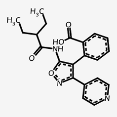 CCC(CC)C(=O)Nc1onc(-c2ccncc2)c1-c1ccccc1C(=O)O